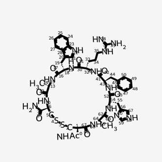 CC(=O)N[C@H]1CSSC[C@@H](C(N)=O)NC(=O)[C@H](C)NC(=O)[C@H](Cc2c[nH]c3ccccc23)NC(=O)[C@H](CCCNC(=N)N)NC(=O)[C@@H](Cc2ccccc2)NC(=O)[C@H](Cc2c[nH]cn2)NC(=O)[C@@H](C)NC1=O